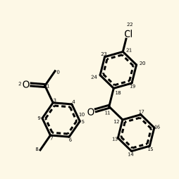 CC(=O)c1cccc(C)c1.O=C(c1ccccc1)c1ccc(Cl)cc1